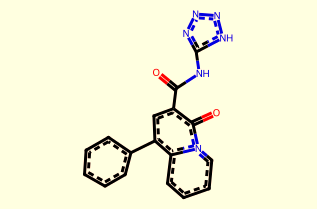 O=C(Nc1nnn[nH]1)c1cc(-c2ccccc2)c2ccccn2c1=O